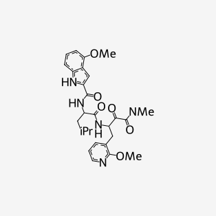 CNC(=O)C(=O)C(Cc1cccnc1OC)NC(=O)C(CC(C)C)NC(=O)c1cc2c(OC)cccc2[nH]1